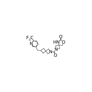 O=C1NC2(CO1)CN(C(=O)N1CC3(CC(Cc4ccc(C(F)(F)F)nc4)C3)C1)C2